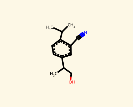 C[C](CO)c1ccc(C(C)C)c(C#N)c1